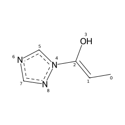 CC=C(O)n1cncn1